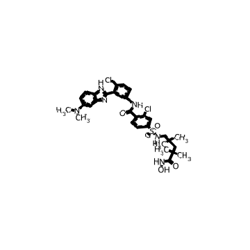 CN(C)c1ccc2[nH]c(-c3cc(NC(=O)c4ccc(S(=O)(=O)NCC(C)(C)CC(C)(C)C(=O)NO)cc4Cl)ccc3Cl)nc2c1